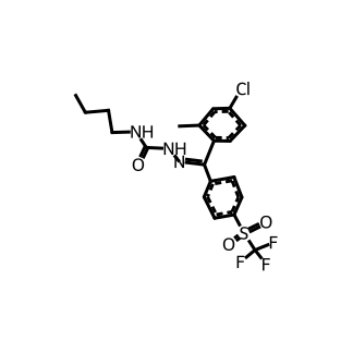 CCCCNC(=O)NN=C(c1ccc(S(=O)(=O)C(F)(F)F)cc1)c1ccc(Cl)cc1C